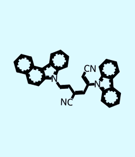 N#C/C=C(/C=C(C#N)\C=C\n1c2ccccc2c2c3ccccc3ccc21)n1c2ccccc2c2ccccc21